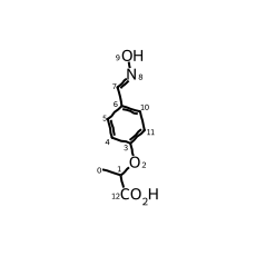 CC(Oc1ccc(C=NO)cc1)C(=O)O